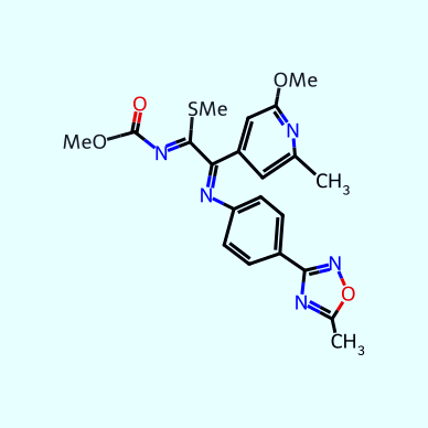 COC(=O)N=C(SC)C(=Nc1ccc(-c2noc(C)n2)cc1)c1cc(C)nc(OC)c1